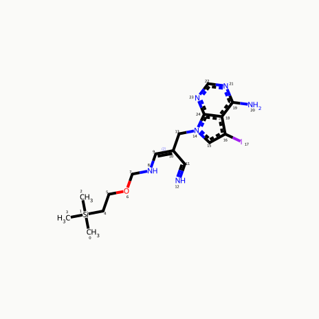 C[Si](C)(C)CCOCN/C=C(\C=N)Cn1cc(I)c2c(N)ncnc21